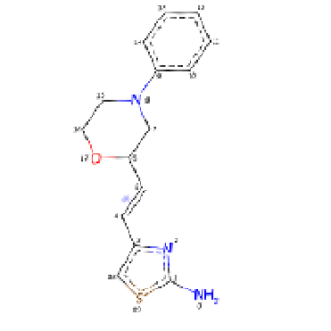 Nc1nc(/C=C/C2CN(c3ccccc3)CCO2)cs1